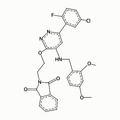 COc1ccc(CNc2cc(-c3cc(Cl)ccc3F)nnc2OCCN2C(=O)c3ccccc3C2=O)c(OC)c1